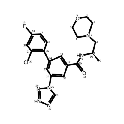 C[C@H](CN1CCOCC1)NC(=O)c1cc(-c2ccc(F)cc2Cl)cc(-n2cnnn2)c1